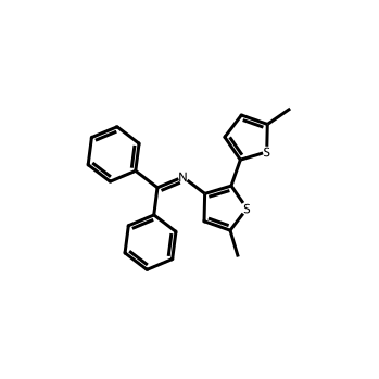 Cc1ccc(-c2sc(C)cc2N=C(c2ccccc2)c2ccccc2)s1